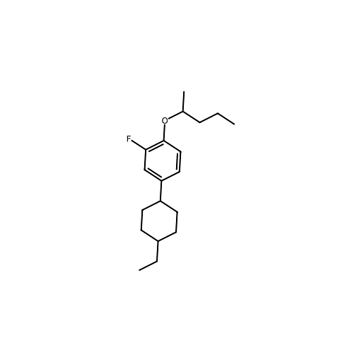 CCCC(C)Oc1ccc(C2CCC(CC)CC2)cc1F